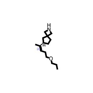 CCCOCC/C=C(/C)[C@@H]1CCC2(CNC2)C1